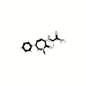 C[C@H](N[C@H]1C=C[C@@H](c2ccccc2)CN(C)C1=O)C(N)=O